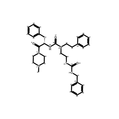 CN1CCN(C(=O)[C@H](Cc2ccccc2)NC(=O)N(CCSC(=O)OCc2ccccc2)CCc2ccccc2)CC1